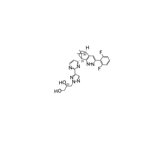 CC1(C)[C@H]2CC[C@]1(c1ccnc(-c3cnn(C[C@H](O)CO)n3)n1)c1nnc(-c3c(F)cccc3F)cc12